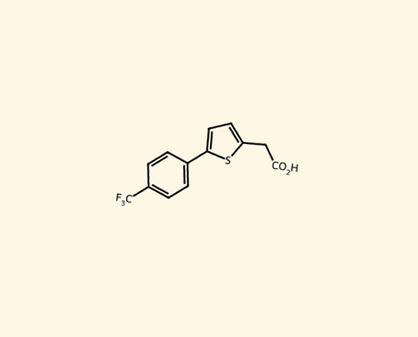 O=C(O)Cc1ccc(-c2ccc(C(F)(F)F)cc2)s1